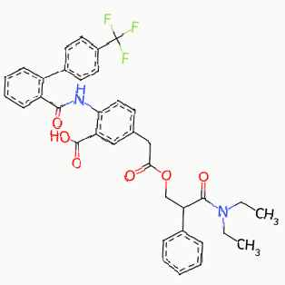 CCN(CC)C(=O)C(COC(=O)Cc1ccc(NC(=O)c2ccccc2-c2ccc(C(F)(F)F)cc2)c(C(=O)O)c1)c1ccccc1